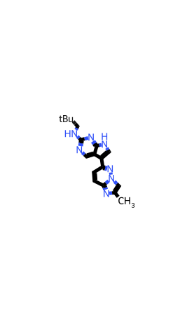 Cc1cn2nc(-c3c[nH]c4nc(NCC(C)(C)C)ncc34)ccc2n1